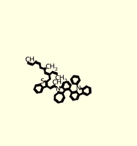 C=C(/C=C(\C=C/C)Cc1sc2ccccc2c1/C=C(\C)n1c2c(c3c(-c4cccc5c6ccccc6n(-c6ccccc6)c45)cccc31)C=CC=CC2)C/C=C\C=C/C